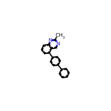 Cc1ncc2c(-c3ccc(-c4ccccc4)cc3)cccc2n1